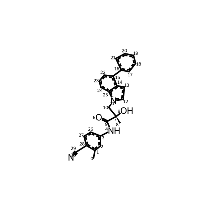 Cc1cc(NC(=O)[C@@](C)(O)Cn2ccc3c(-c4ccccc4)cccc32)ccc1C#N